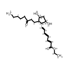 CCCCCC(=O)CCC1[C@@H](C=CC=CC=CC(=O)OCC)[C@H](O)C[C@@H]1O